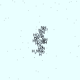 Nc1nc2c(ncn2[C@@H]2O[C@@H]3CNC(=O)NC4C(O)[C@H](n5cnc6c(N)ncnc65)O[C@@H]4CNC(=O)NC2C3O)c(=O)[nH]1